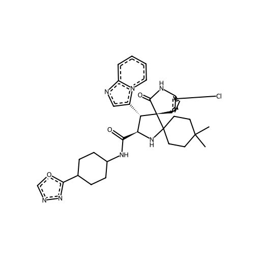 CC1(C)CCC2(CC1)N[C@@H](C(=O)NC1CCC(c3nnco3)CC1)[C@H](c1cnc3ccccn13)[C@]21C(=O)Nc2cc(Cl)ccc21